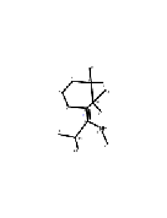 CN/C(=C1/CCCC(C)(C)C1(C)C)C(C)C